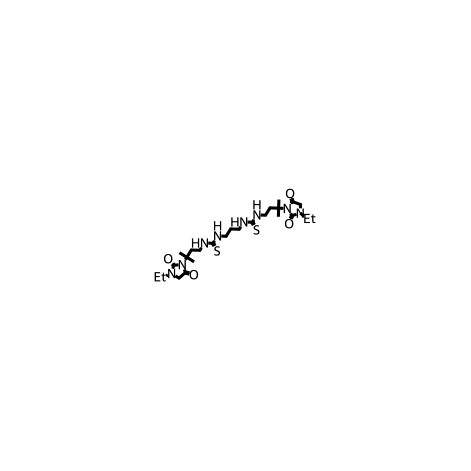 CCN1CC(=O)N(C(C)(C)CCNC(=S)NCCCNC(=S)NCCC(C)(C)N2C(=O)CN(CC)C2=O)C1=O